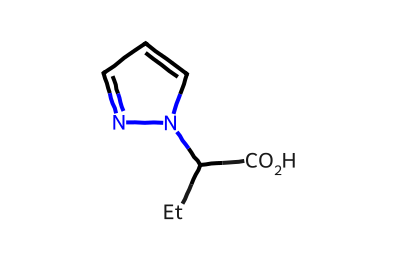 CCC(C(=O)O)n1cccn1